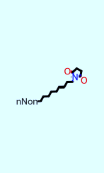 CCCCCCCCCCCCCCC=CCC[N+]1C(=O)CCC1=O